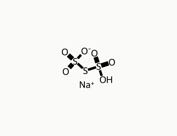 O=S(=O)([O-])SS(=O)(=O)O.[Na+]